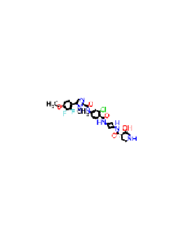 COc1ccc(-c2cnc(C(=O)Nc3ccc(C(=O)NC4CC(NC(=O)[C@H]5CCNC[C@H]5O)C4)c(Cl)c3)n2C)c(F)c1F